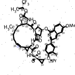 COc1ccc2c(O[C@@H]3C[C@H]4C(=O)N[C@]5(C(=O)NS(=O)(=O)C6CC6)CC5/C=C\CC[C@H](C)C[C@@H](C)[C@H](NC(=O)O[C@H](C)C(F)(F)F)C(=O)N4C3)nc(-c3ccc(OC(C)C)c(F)c3)cc2c1